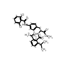 COC(=O)[C@H](Cc1ccc(NC(=O)c2c(Cl)cccc2Cl)cc1)NC(=O)c1c(C(C)C)cccc1C(C)C